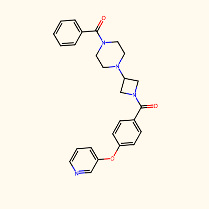 O=C(c1ccccc1)N1CCN(C2CN(C(=O)c3ccc(Oc4cccnc4)cc3)C2)CC1